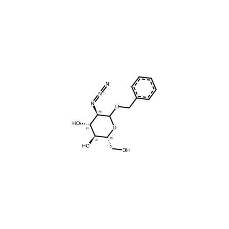 [N-]=[N+]=N[C@H]1C(OCc2ccccc2)O[C@H](CO)[C@@H](O)[C@@H]1O